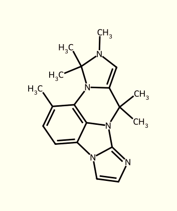 Cc1ccc2c3c1N1C(=CN(C)C1(C)C)C(C)(C)n3c1nccn21